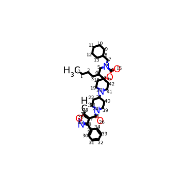 CCCCC1CN(CC2CCCCC2)C(=O)OC12CCN(C1CCN(C(=O)c3c(-c4ccccc4)noc3C)CC1)CC2